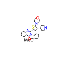 COc1ccccc1-n1c(-c2cc(-c3ccncc3)c(N3CCOCC3)s2)nc2ccccc2c1=O